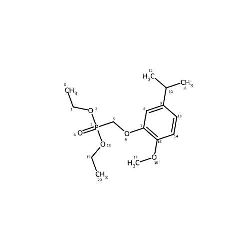 CCOP(=O)(COc1cc(C(C)C)ccc1OC)OCC